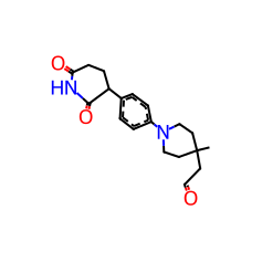 CC1(CC=O)CCN(c2ccc(C3CCC(=O)NC3=O)cc2)CC1